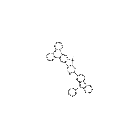 CC1(C)c2cc3c4ccccc4c4ccccc4c3cc2-c2cnc(-c3ccc4c5ccccc5n(-c5ccccc5)c4c3)nc21